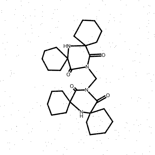 O=C1N(CN2C(=O)C3(CCCCC3)NC3(CCCCC3)C2=O)C(=O)C2(CCCCC2)NC12CCCCC2